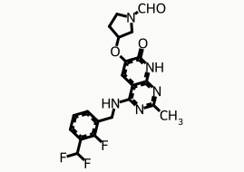 Cc1nc(NCc2cccc(C(F)F)c2F)c2cc(OC3CCN(C=O)C3)c(=O)[nH]c2n1